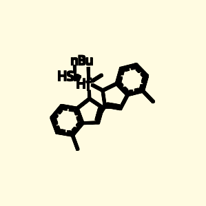 CCCC[SiH]=[Hf]([CH3])([CH3])([CH]1C(C)=Cc2c(C)cccc21)[CH]1C(C)=Cc2c(C)cccc21